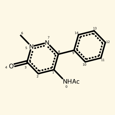 CC(=O)Nc1cc(=O)n(C)nc1-c1ccccc1